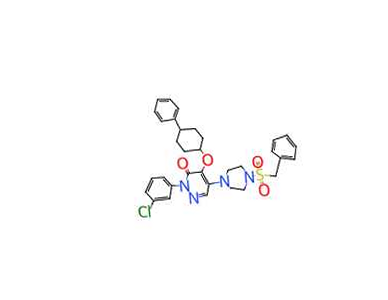 O=c1c(OC2CCC(c3ccccc3)CC2)c(N2CCN(S(=O)(=O)Cc3ccccc3)CC2)cnn1-c1cccc(Cl)c1